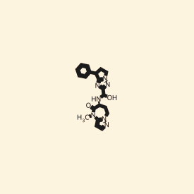 CN1C(=O)[C@@H](NC(O)c2nc3n(n2)CCC3c2ccccc2)CCn2nccc21